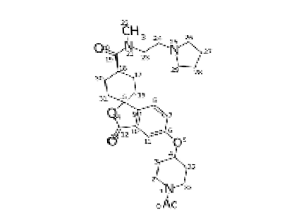 CC(=O)N1CCC(Oc2ccc3c(c2)C(=O)O[C@]32CC[C@H](C(=O)N(C)CCN3CCCC3)CC2)CC1